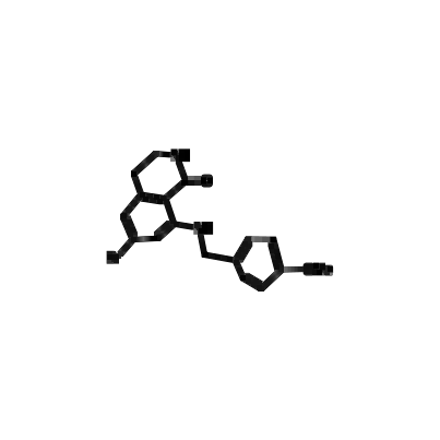 COc1ccc(CNc2cc(Br)cc3c2C(=O)NCC3)cc1